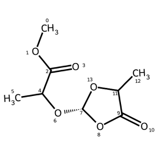 COC(=O)C(C)O[C@H]1OC(=O)C(C)O1